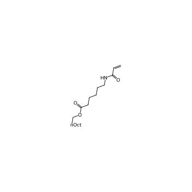 C=CC(=O)NCCCCCC(=O)OCCCCCCCCC